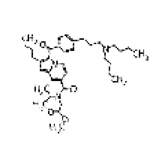 CCCCc1cc2cc(C(=O)N(CC(=O)OC)C(C)C)ccn2c1C(=O)c1ccc(CCCN(CCCC)CCCC)cc1